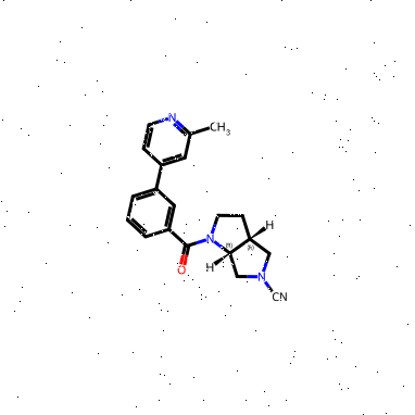 Cc1cc(-c2cccc(C(=O)N3CC[C@@H]4CN(C#N)C[C@@H]43)c2)ccn1